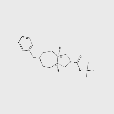 CC(C)(C)OC(=O)N1C[C@H]2CCN(Cc3ccccc3)CC[C@H]2C1